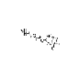 CC(C)NCCOCCOCCC1C(=O)C=CC1O